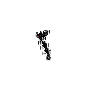 CC[C@@]1(O)C(=O)OCc2c1cc1n(c2=O)Cc2c-1nc1cc(F)c(C)c3c1c2[C@@H](NC(=O)COCNC(=O)CNC(=O)CNC(=O)CNC(=O)CNC(=O)COC1/C=C\CCCCC1)CC3